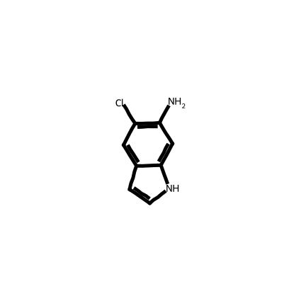 Nc1cc2[nH]ccc2cc1Cl